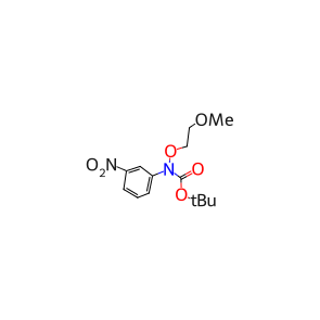 COCCON(C(=O)OC(C)(C)C)c1cccc([N+](=O)[O-])c1